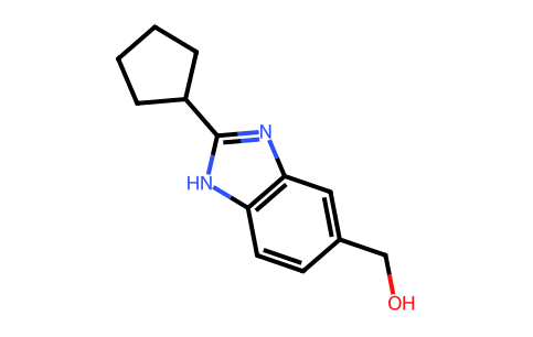 OCc1ccc2[nH]c(C3CCCC3)nc2c1